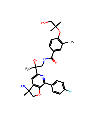 COc1cc(C(=O)NCC(O)(c2cc3c(c(-c4ccc(F)cc4)n2)OCC3(C)N)C(F)(F)F)ccc1OC(C)(C)CO